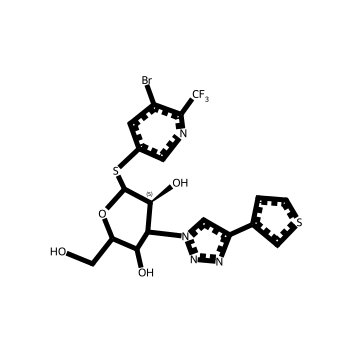 OCC1OC(Sc2cnc(C(F)(F)F)c(Br)c2)[C@@H](O)C(n2cc(-c3ccsc3)nn2)C1O